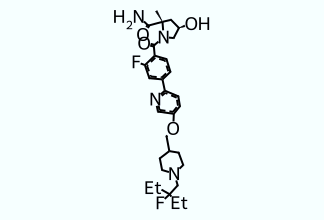 CCC(F)(CC)CN1CCC(COc2ccc(-c3ccc(C(=O)N4C[C@H](O)C[C@@]4(C)C(N)=O)c(F)c3)nc2)CC1